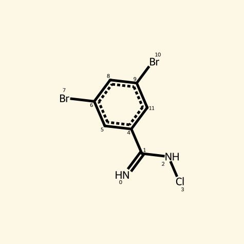 N=C(NCl)c1cc(Br)cc(Br)c1